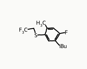 CCC(C)c1cc(SCC(F)(F)F)c(C)cc1F